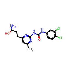 Cc1cc(CCC(N)O)nc(NC(=O)Nc2ccc(Cl)c(Cl)c2)n1